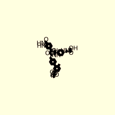 Cc1ccc(S(=O)(=O)N(C)C)cc1-c1ccc(C[C@H](NC(=O)[C@H]2CC[C@H](CNC(=O)O)CC2)C(=O)Nc2ccc3c(=O)[nH][nH]c3c2)cc1